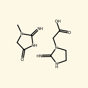 CN1CC(=O)NC1=N.N=C1NCCN1CC(=O)O